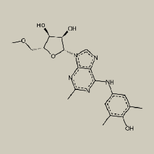 COC[C@H]1O[C@@H](n2cnc3c(Nc4cc(C)c(O)c(C)c4)nc(C)nc32)[C@H](O)[C@@H]1O